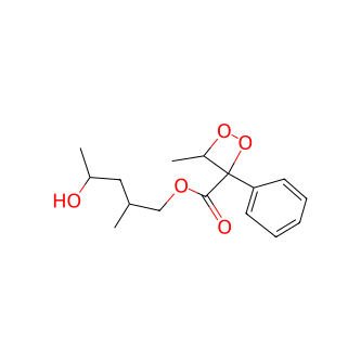 CC(O)CC(C)COC(=O)C1(c2ccccc2)OOC1C